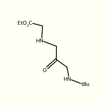 CCOC(=O)CNCC(=O)CNC(C)(C)C